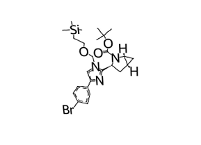 CC(C)(C)OC(=O)N1[C@@H]2C[C@@H]2C[C@H]1c1nc(-c2ccc(Br)cc2)cn1COCC[Si](C)(C)C